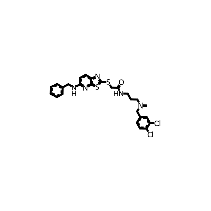 CN(CCCNC(=O)CSc1nc2ccc(NCc3ccccc3)nc2s1)Cc1ccc(Cl)c(Cl)c1